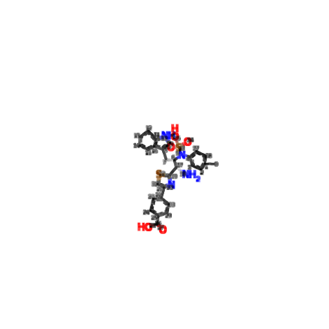 Cc1ccc(N([C@@H](Cc2c[nH]c3ccccc23)[C@H](N)c2nc(-c3ccc(C(=O)O)cc3)cs2)S(=O)(=O)O)cc1